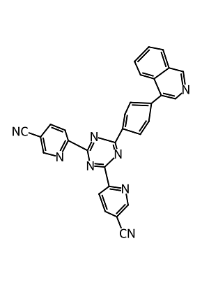 N#Cc1ccc(-c2nc(-c3ccc(-c4cncc5ccccc45)cc3)nc(-c3ccc(C#N)cn3)n2)nc1